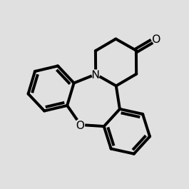 O=C1CCN2c3ccccc3Oc3ccccc3C2C1